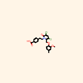 COc1cc(C)ccc1OCc1c(Cl)cc(Cl)c(=O)n1CCc1ccc(C(=O)O)cc1